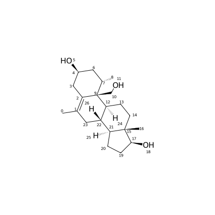 CC1=C2C[C@@H](O)C[C@H](C)[C@]2(CO)[C@H]2CC[C@]3(C)[C@@H](O)CC[C@H]3[C@@H]2C1